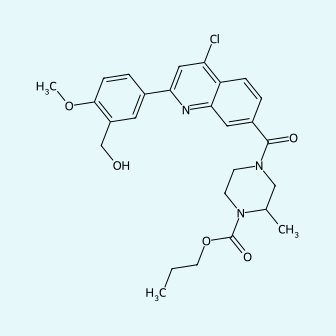 CCCOC(=O)N1CCN(C(=O)c2ccc3c(Cl)cc(-c4ccc(OC)c(CO)c4)nc3c2)CC1C